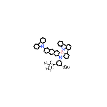 C=C(C)c1cc(N2c3cc4cc5ccc(-n6c7ccccc7c7ccccc76)cc5cc4cc3B3c4c(cccc42)-c2cccc4c5ccccc5n3c24)cc(C(C)(C)C)c1